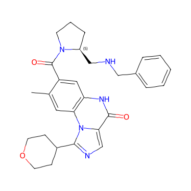 Cc1cc2c(cc1C(=O)N1CCC[C@H]1CNCc1ccccc1)[nH]c(=O)c1cnc(C3CCOCC3)n12